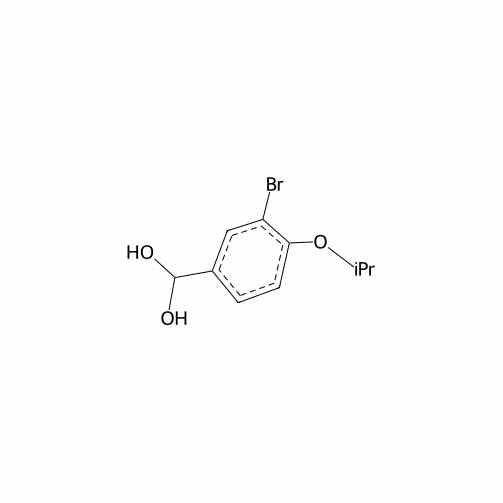 CC(C)Oc1ccc(C(O)O)cc1Br